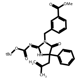 C=C(C)CC1(c2ccccc2)N/C(=N\C(=O)OC(C)(C)C)N(Cc2cccc(C(=O)OC)c2)C1=O